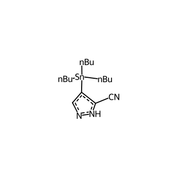 CCC[CH2][Sn]([CH2]CCC)([CH2]CCC)[c]1cn[nH]c1C#N